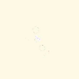 CCOC(=O)c1cc(-c2ccc(S(C)(=O)=O)cc2)nn1-c1ccc(F)cc1